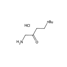 CCCCCCC(=O)CN.Cl